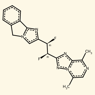 Cc1ncc(C)n2nc([C@@H](F)[C@H](F)c3cn4c(n3)-c3ccccc3C4)nc12